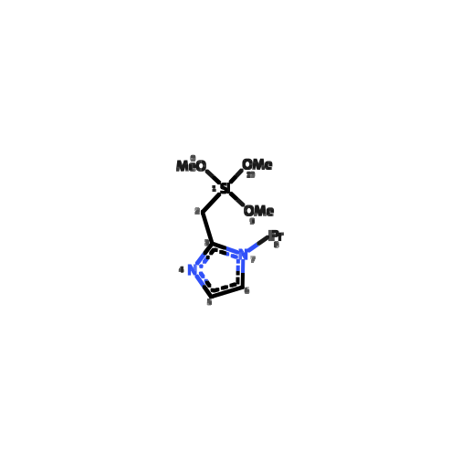 CO[Si](Cc1nccn1C(C)C)(OC)OC